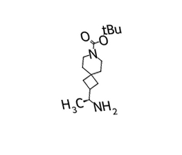 C[C@H](N)C1CC2(CCN(C(=O)OC(C)(C)C)CC2)C1